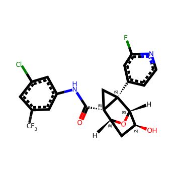 O=C(Nc1cc(Cl)cc(C(F)(F)F)c1)[C@]12C[C@@]1(c1ccnc(F)c1)[C@H]1O[C@@H]2C[C@@H]1O